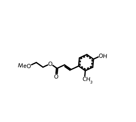 COCCOC(=O)/C=C/c1ccc(O)cc1C